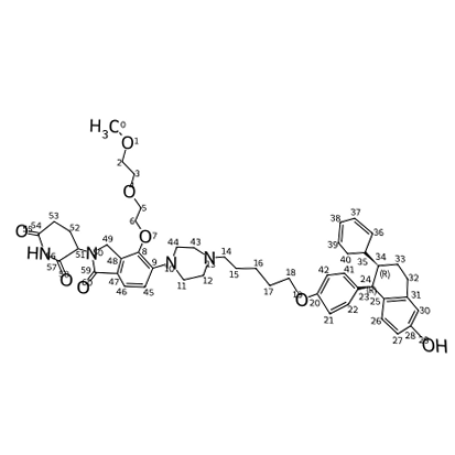 COCCOCCOc1c(N2CCN(CCCCCOc3ccc([C@@H]4c5ccc(O)cc5CC[C@@H]4C4C=CC=CC4)cc3)CC2)ccc2c1CN(C1CCC(=O)NC1=O)C2=O